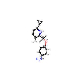 CCc1ccc(C2CC2)nc1C(C)(C)Oc1ccc(N)cc1